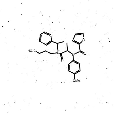 COc1ccc(N(C(=O)c2ccco2)C(C)C(=O)N(CCCC(=O)O)C(C)c2ccccc2)cc1